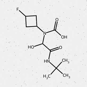 CC(C)(C)NC(=O)C(O)N(C(=O)O)C1CC(F)C1